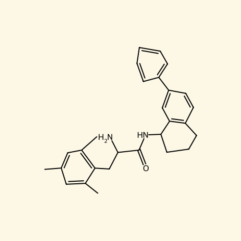 Cc1cc(C)c(CC(N)C(=O)NC2CCCc3ccc(-c4ccccc4)cc32)c(C)c1